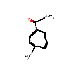 CC(=O)C1=CC=C(C)CCC1